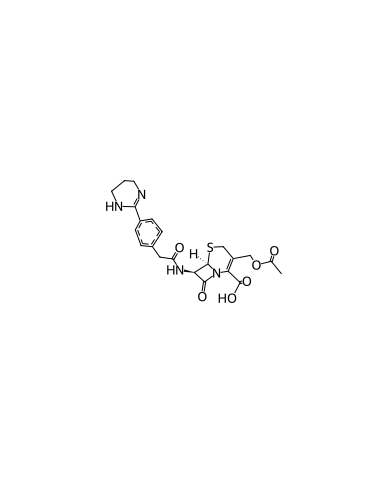 CC(=O)OCC1=C(C(=O)O)N2C(=O)[C@@H](NC(=O)Cc3ccc(C4=NCCCN4)cc3)[C@H]2SC1